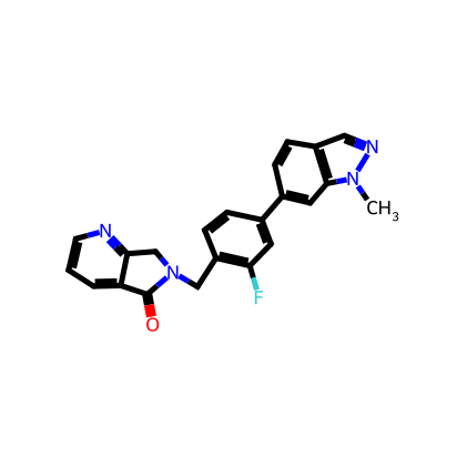 Cn1ncc2ccc(-c3ccc(CN4Cc5ncccc5C4=O)c(F)c3)cc21